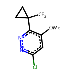 COc1cc(Cl)nnc1C1(C(F)(F)F)CC1